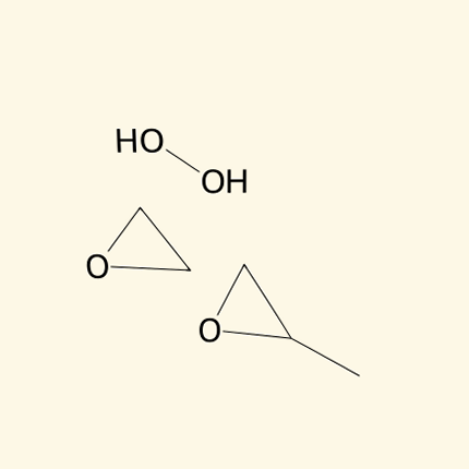 C1CO1.CC1CO1.OO